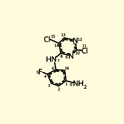 Nc1ccc(F)c(Nc2nc(Cl)ncc2Cl)c1